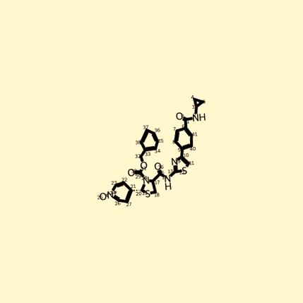 O=C(NC1CC1)c1ccc(-c2csc(NC(=O)C3CS[C@H](c4cc[n+]([O-])cc4)N3C(=O)OCc3ccccc3)n2)cc1